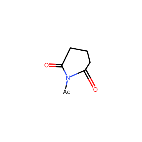 CC(=O)N1C(=O)CCCC1=O